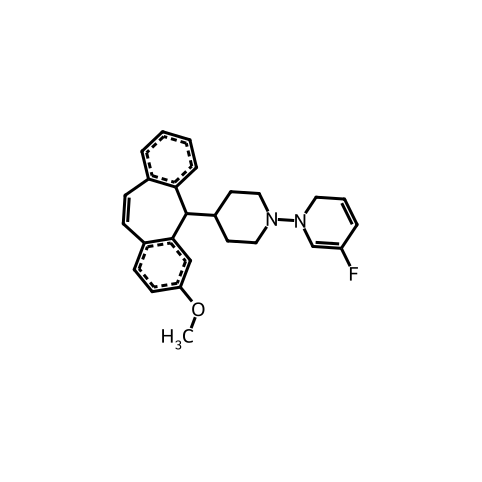 COc1ccc2c(c1)C(C1CCN(N3C=C(F)C=CC3)CC1)c1ccccc1C=C2